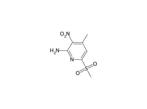 Cc1cc(S(C)(=O)=O)nc(N)c1[N+](=O)[O-]